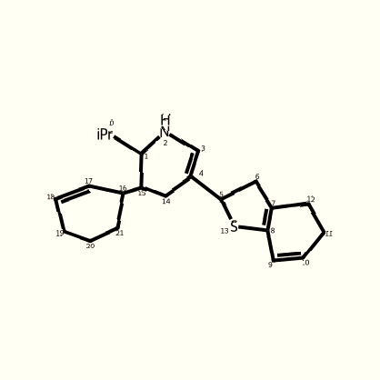 CC(C)C1NC=C(C2CC3=C(C=CCC3)S2)CC1C1C=CCCC1